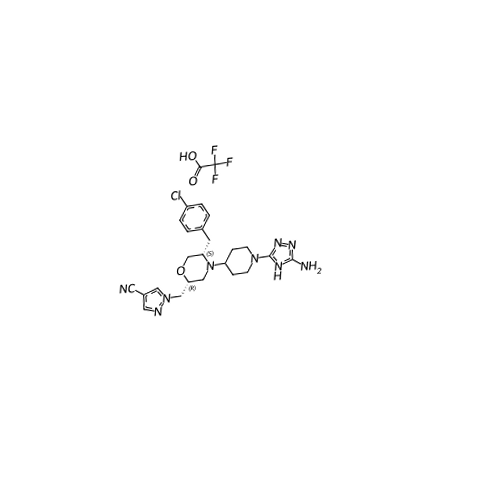 N#Cc1cnn(C[C@H]2CN(C3CCN(c4nnc(N)[nH]4)CC3)[C@@H](Cc3ccc(Cl)cc3)CO2)c1.O=C(O)C(F)(F)F